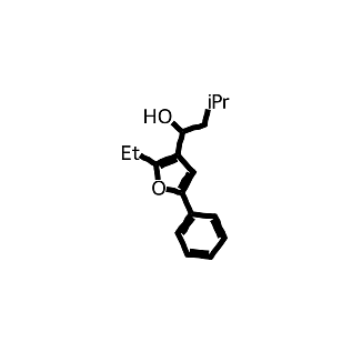 CCc1oc(-c2ccccc2)cc1C(O)CC(C)C